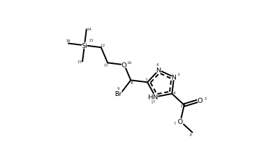 COC(=O)c1nnc(C(Br)OCC[Si](C)(C)C)[nH]1